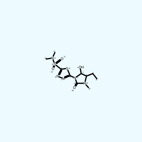 CCC1C(O)N(c2nnc(S(=O)(=O)N(C)C)s2)C(=O)N1C